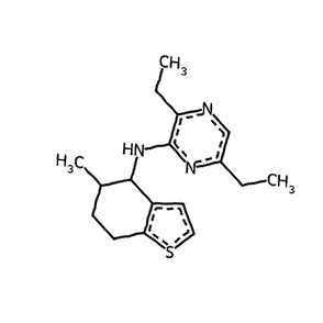 CCc1cnc(CC)c(NC2c3ccsc3CCC2C)n1